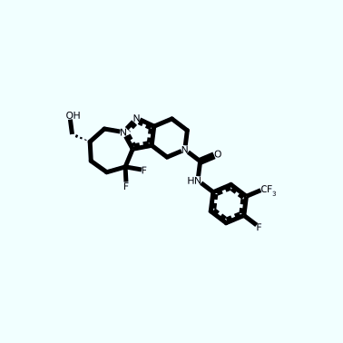 O=C(Nc1ccc(F)c(C(F)(F)F)c1)N1CCc2nn3c(c2C1)C(F)(F)CC[C@H](CO)C3